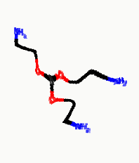 NCCOB(OCCN)OCCN